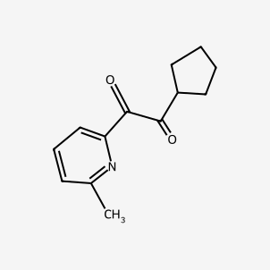 Cc1cccc(C(=O)C(=O)C2CCCC2)n1